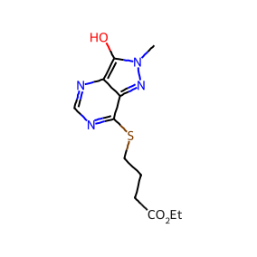 CCOC(=O)CCCSc1ncnc2c(O)n(C)nc12